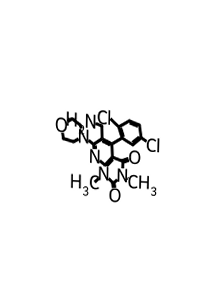 Cn1c(=O)c2c(-c3cc(Cl)ccc3Cl)c(CN)c(N3CCOCC3)nc2n(C)c1=O